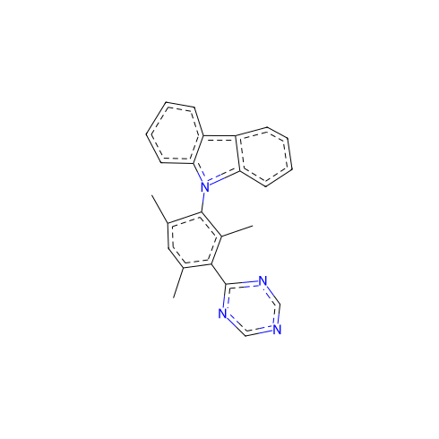 Cc1cc(C)c(-n2c3ccccc3c3ccccc32)c(C)c1-c1ncncn1